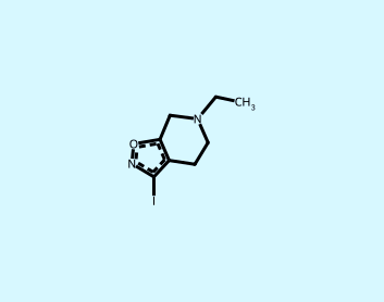 CCN1CCc2c(I)noc2C1